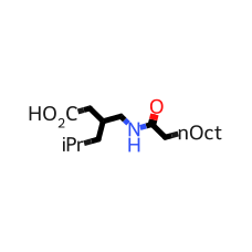 CCCCCCCCCC(=O)NCC(CC(=O)O)CC(C)C